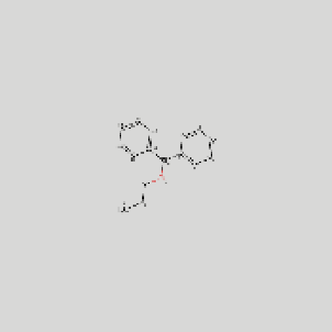 CCCO[Si](c1ccccc1)c1ccccc1